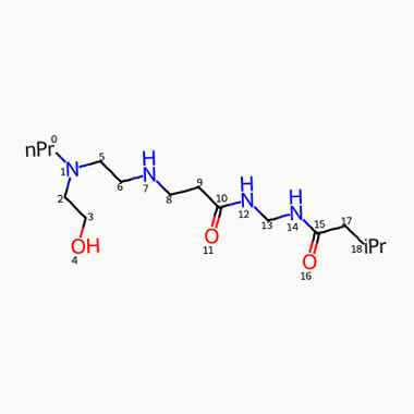 CCCN(CCO)CCNCCC(=O)NCNC(=O)CC(C)C